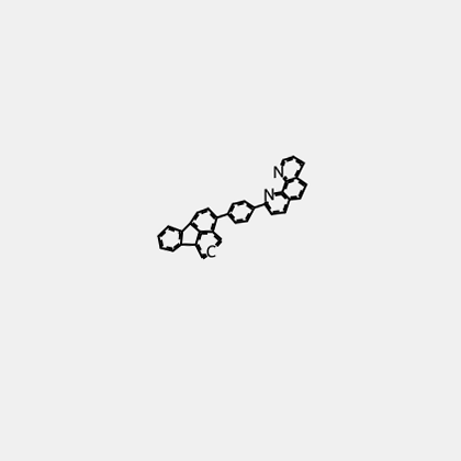 c1ccc2c(c1)-c1cccc3c(-c4ccc(-c5ccc6ccc7cccnc7c6n5)cc4)ccc-2c13